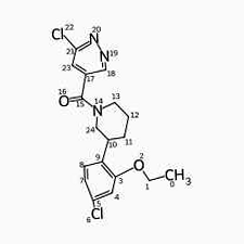 CCOc1cc(Cl)ccc1C1CCCN(C(=O)c2cnnc(Cl)c2)C1